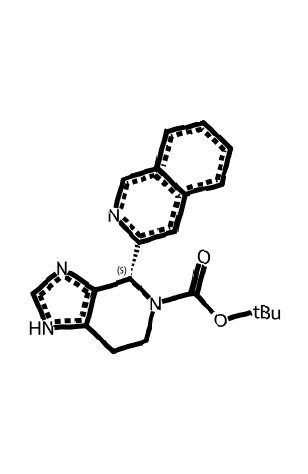 CC(C)(C)OC(=O)N1CCc2[nH]cnc2[C@@H]1c1cc2ccccc2cn1